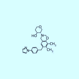 Cc1c(Cc2ccc(-n3cccn3)cc2)cc2c(c1C)OCN([C@H]1COCC[C@@H]1O)C2